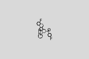 O=C(c1ccc(F)cc1)C1C=c2c(ccc3c2=CCc2c(F)cccc2-3)C(C2=CC=CC=CN2)C1